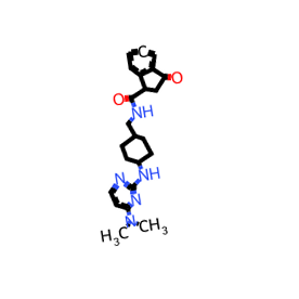 CN(C)c1ccnc(NC2CCC(CNC(=O)C3CC(=O)c4ccccc43)CC2)n1